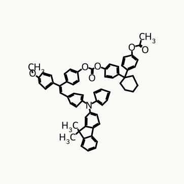 COc1ccc(C(=Cc2ccc(N(c3ccccc3)c3ccc4c(c3)C(C)(C)c3ccccc3-4)cc2)c2ccc(OC(=O)Oc3ccc(C4(c5ccc(OC(C)=O)cc5)CCCCC4)cc3)cc2)cc1